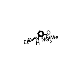 CCOCCNc1cccc(C(=O)OC)c1[N+](=O)[O-]